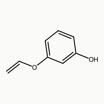 C=COc1cccc(O)c1